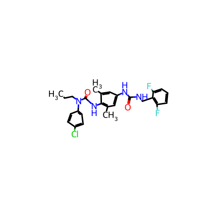 CCCN(C(=O)Nc1c(C)cc(NC(=O)NCc2c(F)cccc2F)cc1C)c1ccc(Cl)cc1